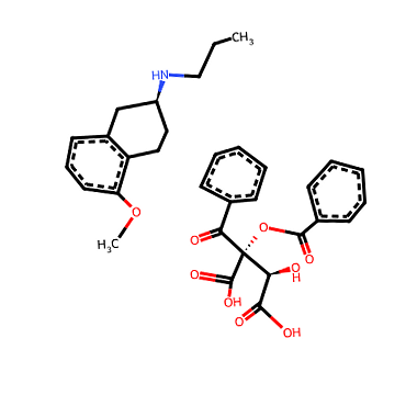 CCCN[C@H]1CCc2c(cccc2OC)C1.O=C(O[C@](C(=O)O)(C(=O)c1ccccc1)[C@@H](O)C(=O)O)c1ccccc1